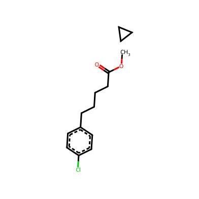 C1CC1.COC(=O)CCCCc1ccc(Cl)cc1